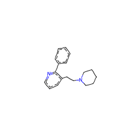 c1ccc(-c2ncccc2CCN2CCCCC2)cc1